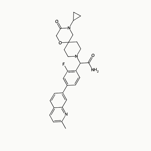 Cc1ccc2ccc(-c3ccc(C(C(N)=O)N4CCC5(CC4)CN(C4CC4)C(=O)CO5)c(F)c3)cc2n1